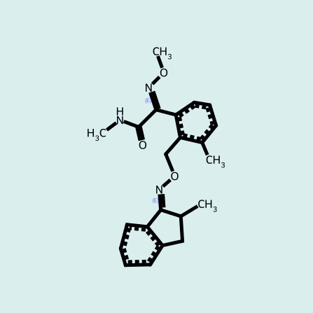 CNC(=O)/C(=N/OC)c1cccc(C)c1CO/N=C1/c2ccccc2CC1C